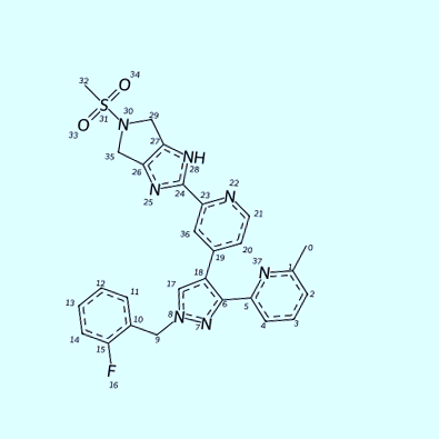 Cc1cccc(-c2nn(Cc3ccccc3F)cc2-c2ccnc(-c3nc4c([nH]3)CN(S(C)(=O)=O)C4)c2)n1